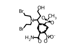 CS(=O)(=O)c1cc([N+](=O)[O-])c(C(N)=O)cc1C(CCO)N(CCBr)CCBr